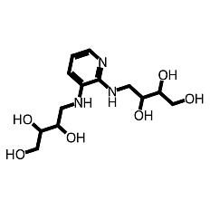 OCC(O)C(O)CNc1cccnc1NCC(O)C(O)CO